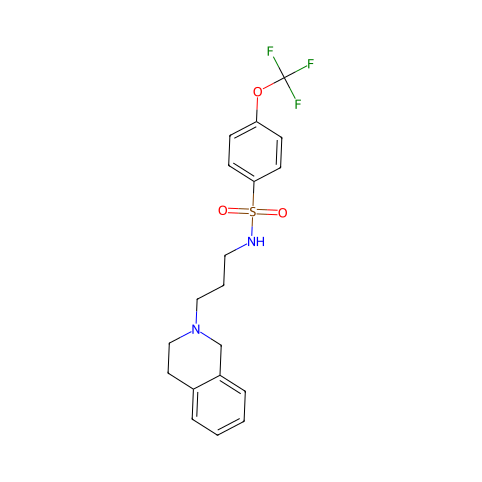 O=S(=O)(NCCCN1CCc2ccccc2C1)c1ccc(OC(F)(F)F)cc1